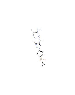 CCNc1nc(Nc2cn(-c3ccc(S(=O)(=O)C4CC4)cc3)nc2C)ncc1C(F)(F)F